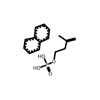 C=C(C)CCOP(=O)(O)O.c1ccc2ccccc2c1